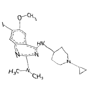 COc1cc2c(NC3CCN(C4CC4)CC3)nc(N(C)C)nc2cc1I